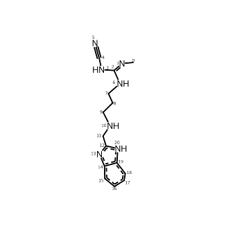 C/N=C(/NC#N)NCCCNCc1nc2ccccc2[nH]1